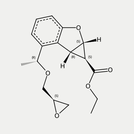 CCOC(=O)[C@@H]1[C@H]2Oc3cccc([C@@H](C)OC[C@H]4CO4)c3[C@H]21